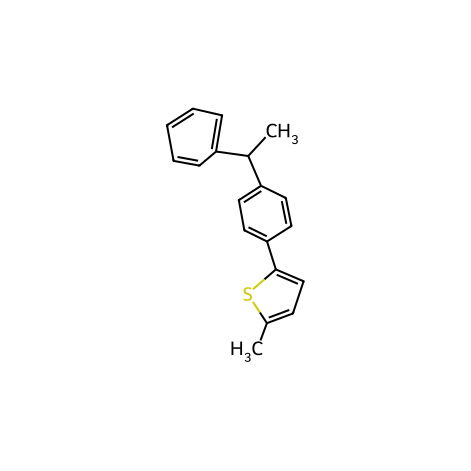 Cc1ccc(-c2ccc(C(C)c3ccccc3)cc2)s1